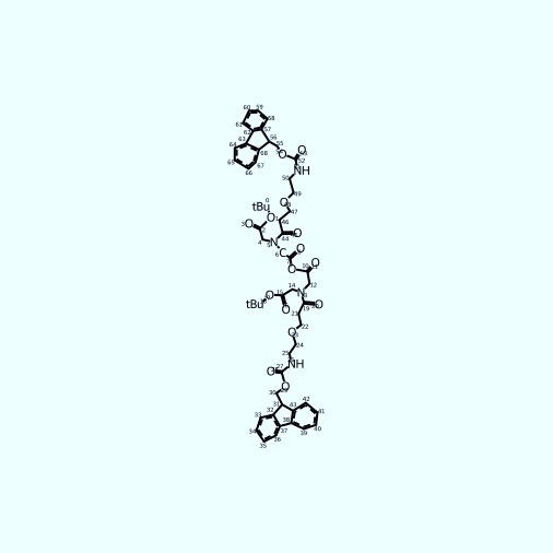 CC(C)(C)OC(=O)CN(CC(=O)OC(=O)CN(CC(=O)OC(C)(C)C)C(=O)CCOCCNC(=O)OCC1c2ccccc2-c2ccccc21)C(=O)CCOCCNC(=O)OCC1c2ccccc2-c2ccccc21